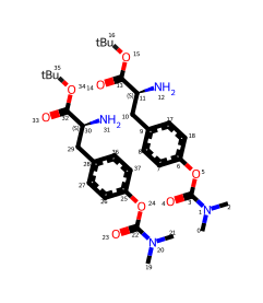 CN(C)C(=O)Oc1ccc(C[C@H](N)C(=O)OC(C)(C)C)cc1.CN(C)C(=O)Oc1ccc(C[C@H](N)C(=O)OC(C)(C)C)cc1